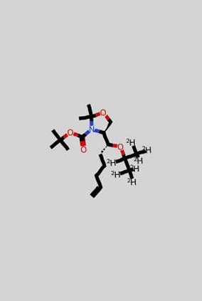 [2H]C([2H])([2H])C([2H])(O[C@H](CCCC=C)[C@@H]1COC(C)(C)N1C(=O)OC(C)(C)C)C([2H])([2H])[2H]